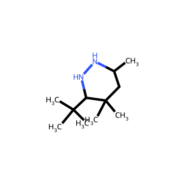 CC1CC(C)(C)C(C(C)(C)C)NN1